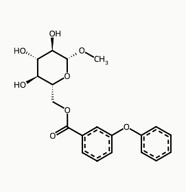 CO[C@@H]1O[C@H](COC(=O)c2cccc(Oc3ccccc3)c2)[C@@H](O)[C@H](O)[C@H]1O